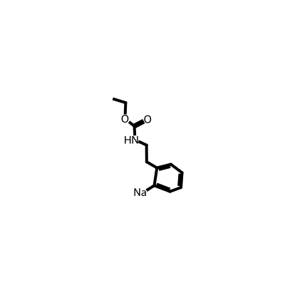 CCOC(=O)NCCc1cccc[c]1[Na]